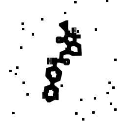 CC1(F)C2=C(C(=O)N1C1CC1)N(CC(=O)Nc1ccc(-c3cncnc3)cc1)CCC2